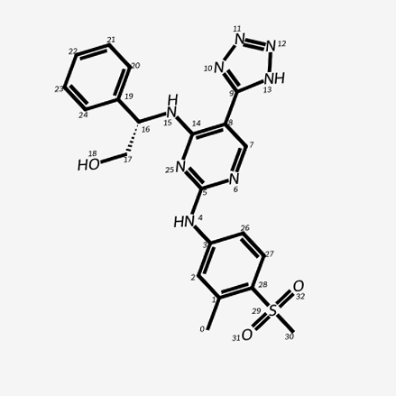 Cc1cc(Nc2ncc(-c3nnn[nH]3)c(N[C@H](CO)c3ccccc3)n2)ccc1S(C)(=O)=O